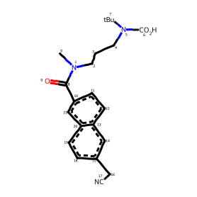 CN(CCCN(C(=O)O)C(C)(C)C)C(=O)c1ccc2cc(CC#N)ccc2c1